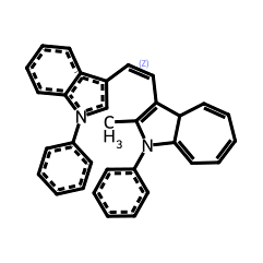 CC1=C(/C=C\c2cn(-c3ccccc3)c3ccccc23)C2C=CC=CC=C2N1c1ccccc1